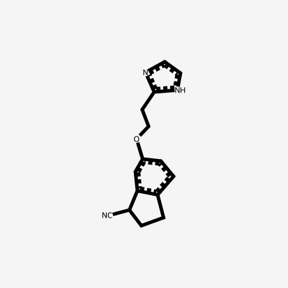 N#CC1CCc2ccc(OCCc3ncc[nH]3)cc21